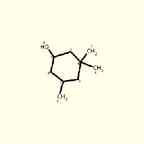 CC1CC(O)CC(C)(C)C1